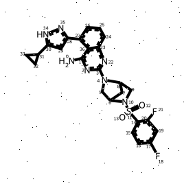 Nc1nc(N2CC3CC2CN3S(=O)(=O)c2ccc(F)cc2F)nc2cccc(-c3cc(C4CC4)[nH]n3)c12